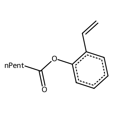 C=Cc1ccccc1OC(=O)CCCCC